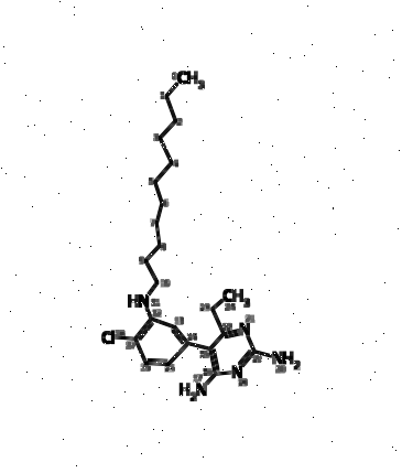 CCCCCCCCCCCNc1cc(-c2c(N)nc(N)nc2CC)ccc1Cl